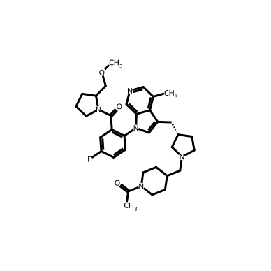 COCC1CCCN1C(=O)c1cc(F)ccc1-n1cc(C[C@@H]2CCN(CC3CCN(C(C)=O)CC3)C2)c2c(C)cncc21